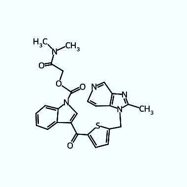 Cc1nc2cnccc2n1Cc1ccc(C(=O)c2cn(C(=O)OCC(=O)N(C)C)c3ccccc23)s1